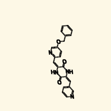 O=c1[nH]c(=Cc2ccc(OCc3ccccc3)cn2)c(=O)[nH]c1=Cc1cccnc1